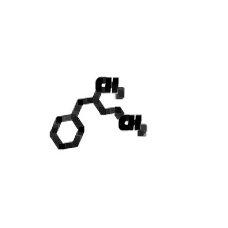 C=CCC(C)CC1CCCCC1